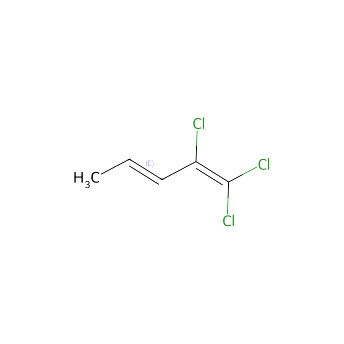 C/C=C/C(Cl)=C(Cl)Cl